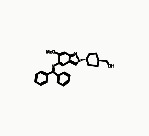 COc1cc2nn([C@H]3CC[C@H](CO)CC3)cc2cc1N=C(c1ccccc1)c1ccccc1